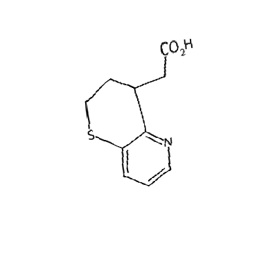 O=C(O)CC1CCSc2cccnc21